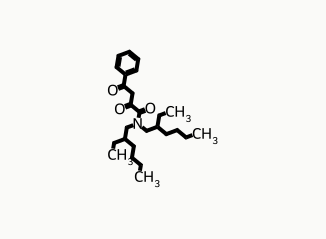 CCCCC(CC)CN(CC(CC)CCCC)C(=O)C(=O)CC(=O)c1ccccc1